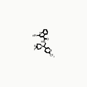 CCCc1cc(C(=O)NCC(c2ccc(C(F)(F)F)nc2)N2CCC(F)(F)CC2)c2ccccc2n1